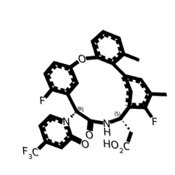 Cc1cc2cc(c1F)[C@H](CC(=O)O)NC(=O)[C@H](n1ccc(C(F)(F)F)cc1=O)c1cc(ccc1F)Oc1cccc(C)c1-2